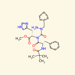 COC(=O)[C@H](Cc1c[nH]cn1)N(C(=O)[C@H](Cc1ccccc1)NC(=O)C(C)(C)C)C(=O)N(N)Cc1ccccc1